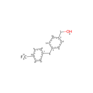 OCc1ccc(Cc2ccc(C(F)(F)F)cc2)cc1